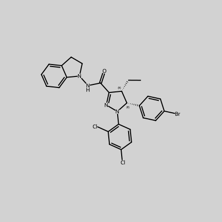 CC[C@H]1C(C(=O)NN2CCc3ccccc32)=NN(c2ccc(Cl)cc2Cl)[C@H]1c1ccc(Br)cc1